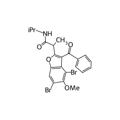 COc1c(Br)cc2oc(C(C)C(=O)NC(C)C)c(C(=O)c3ccccc3)c2c1Br